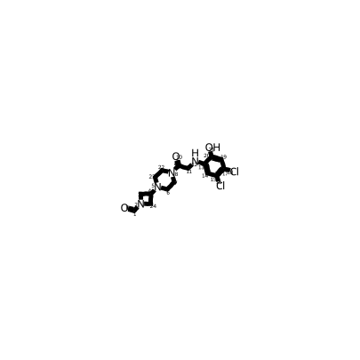 O=CN1CC(N2CCN(C(=O)CNc3cc(Cl)c(Cl)cc3O)CC2)C1